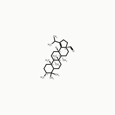 CC(C)C1=C2[C@H]3CC[C@@]4(C)[C@@](C)(CCC5C(C)(C)[C@@H](C)CC[C@@]54C)[C@]3(C)CC[C@@]2(C=O)CC1